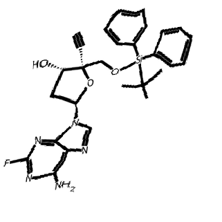 C#C[C@]1(CO[Si](c2ccccc2)(c2ccccc2)C(C)(C)C)O[C@@H](n2cnc3c(N)nc(F)nc32)C[C@@H]1O